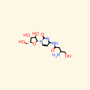 NC(CO)CC(=O)Nc1ccn([C@@H]2O[C@H](CO)[C@H](O)C2O)c(=O)n1